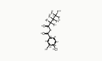 O=C(CC(=O)C(F)(F)C(F)(F)C(F)(F)F)c1ccc(Cl)c(I)c1